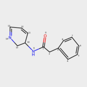 O=C(Cc1ccccc1)NC1C=CC=NC1